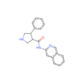 O=C(Nc1cc2ccccc2cn1)C1CNCC1c1ccccc1